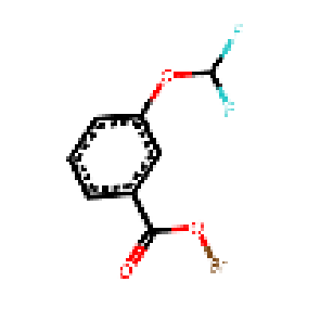 O=C(OBr)c1cccc(OC(F)F)c1